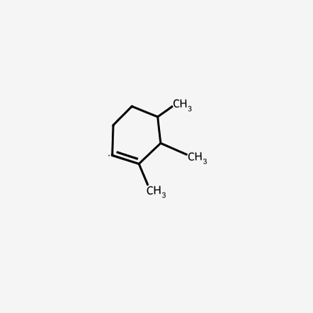 CC1=[C]CCC(C)C1C